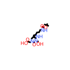 CC(C)(C)OC(=O)NCCCc1cc2c([nH]1)N(CO)C(=O)N(CC(=O)O)C2